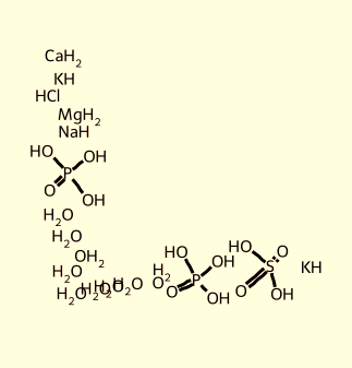 Cl.O.O.O.O.O.O.O.O.O.O=P(O)(O)O.O=P(O)(O)O.O=S(=O)(O)O.[CaH2].[KH].[KH].[MgH2].[NaH]